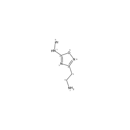 CC(C)Nc1nc(CCN)no1